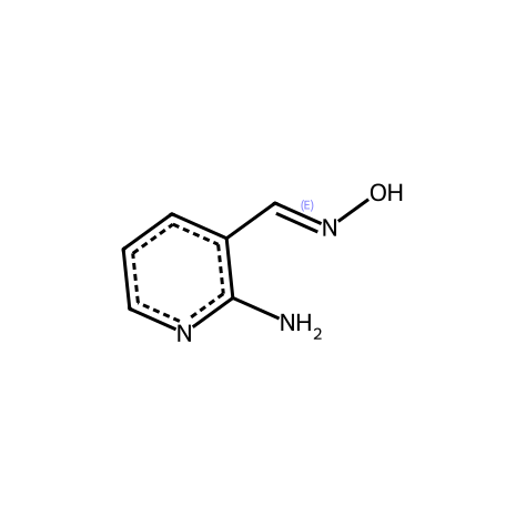 Nc1ncccc1/C=N/O